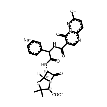 CC1(C)S[C@@H]2[C@H](NC(=O)C(NC(=O)c3cnc4ccc(O)nn4c3=O)c3ccccc3)C(=O)N2[C@H]1C(=O)[O-].[Na+]